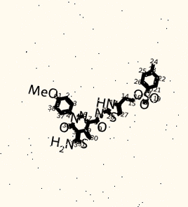 COc1ccc(-n2nc(C(=O)Nc3nc(CCOS(=O)(=O)c4ccc(C)cc4)cs3)c3csc(N)c3c2=O)cc1